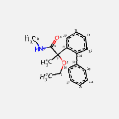 CCOC(C)(C(=O)NC)c1ccccc1-c1ccccc1